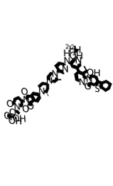 [2H]C([2H])([2H])Oc1ncc(-c2ccnc(N3CCc4c(sc5c4CCCC5)C3=O)c2[C@@H](C)O)cc1Nc1ccc(N2CCN(C3CCN(c4ccc5c(c4)C(=O)N(C4CCC(=O)N(C(C)OP(=O)(O)O)C4=O)C5=O)[C@@H](C)C3)C[C@@H]2C)cn1